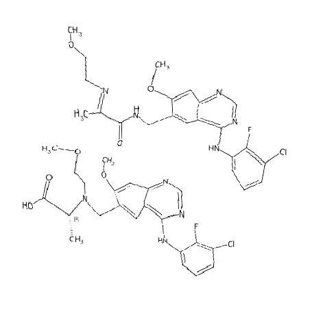 COCCN(Cc1cc2c(Nc3cccc(Cl)c3F)ncnc2cc1OC)[C@H](C)C(=O)O.COCCN=C(C)C(=O)NCc1cc2c(Nc3cccc(Cl)c3F)ncnc2cc1OC